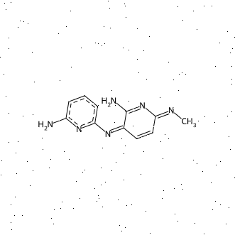 CN=C1C=CC(=Nc2cccc(N)n2)C(N)=N1